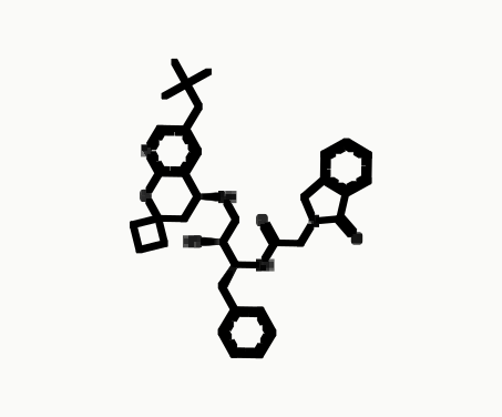 CC(C)(C)Cc1cnc2c(c1)[C@@H](NC[C@H](O)[C@H](Cc1ccccc1)NC(=O)CN1Cc3ccccc3C1=O)CC1(CCC1)O2